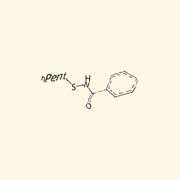 CCCCCSNC(=O)c1ccccc1